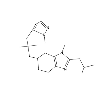 CC(C)Cc1nc2c(n1C)CC(CC(C)(C)Cc1ccnn1C)CC2